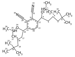 C[SiH](C)OC(CCCC(C)(C)C)c1ccc(C(CCCC(C)(C)C)O[SiH](C)C)c(C#N)c1C#N